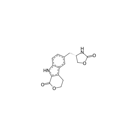 O=C1N[C@@H](Cc2ccc3[nH]c4c(c3c2)CCOC4=O)CO1